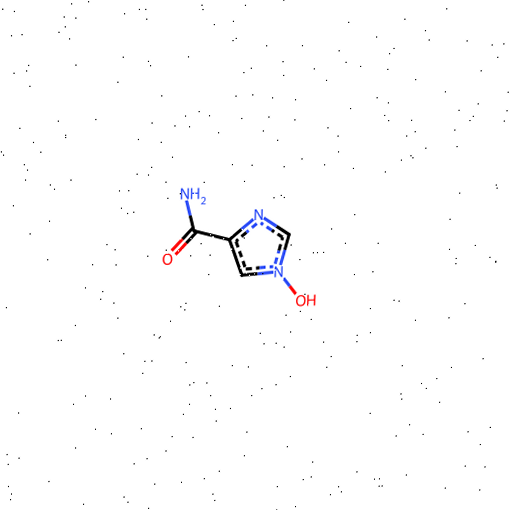 NC(=O)c1cn(O)cn1